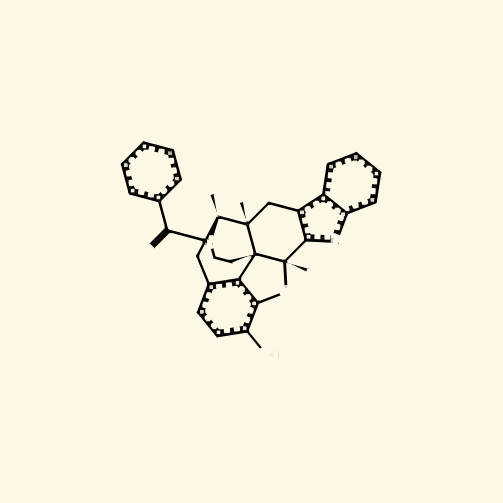 O=C(c1ccccc1)N1CC[C@]23c4c5ccc(O)c4O[C@H]2c2[nH]c4ccccc4c2C[C@@]3(O)[C@H]1C5